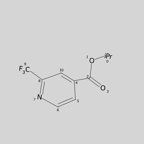 CC(C)OC(=O)c1ccnc(C(F)(F)F)c1